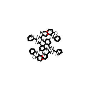 c1ccc(-c2nc(-c3ccccn3)nc(-c3cc(N4c5ccccc5Oc5ccccc54)ccc3-c3ccc(N4c5ccccc5Oc5ccccc54)cc3-c3nc(-c4ccccn4)nc(-c4ccccn4)n3)n2)nc1